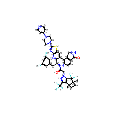 O=C(Cn1nc(C(F)(F)F)c2c1C(F)(F)[C@@H]1CC[C@H]21)N[C@@H](Cc1cc(F)cc(F)c1)c1nc2nc(N3CCN(c4ccncc4)CC3)sc2cc1-c1cccc2c1CNC2=O